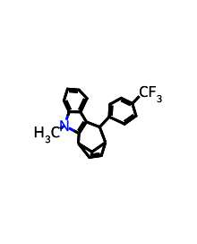 Cn1c2c(c3ccccc31)C(c1ccc(C(F)(F)F)cc1)C1C=CC2C1